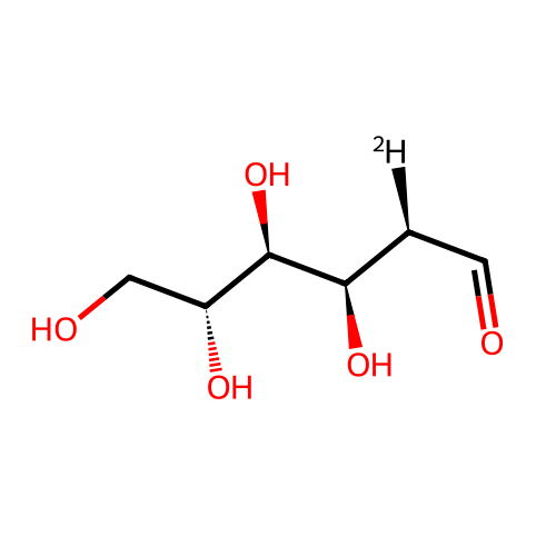 [2H][C@@H](C=O)[C@@H](O)[C@H](O)[C@H](O)CO